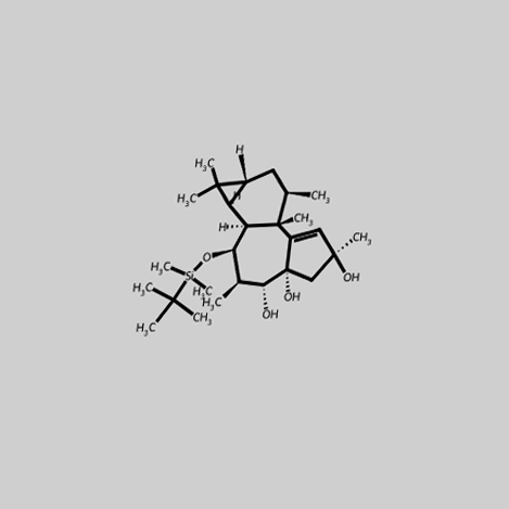 C[C@H]1[C@@H](O[Si](C)(C)C(C)(C)C)[C@H]2[C@H]3[C@@H](C[C@@H](C)[C@]2(C)C2=C[C@@](C)(O)C[C@@]2(O)[C@@H]1O)C3(C)C